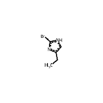 CCc1c[nH]c(Br)n1